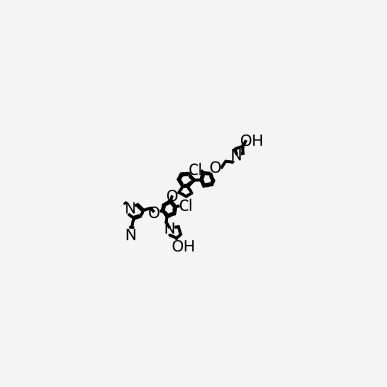 C=N/C=C(\C=C(/C)C#N)COc1cc(O[C@H]2CCc3c(-c4cccc(OCCCN5CC(O)C5)c4Cl)cccc32)c(Cl)cc1CN1CC[C@@H](O)C1